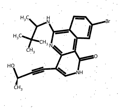 CC(Nc1nc2c(C#C[C@@H](C)O)c[nH]c(=O)c2c2cc(Br)ccc12)C(C)(C)C